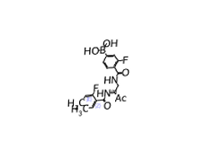 C/C=C(C(=O)N[C@@H](CNC(=O)c1ccc(B(O)O)cc1F)C(C)=O)\C(F)=C/C